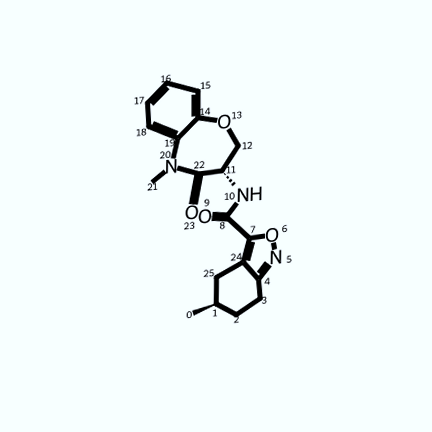 C[C@@H]1CCc2noc(C(=O)N[C@H]3COc4ccccc4N(C)C3=O)c2C1